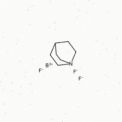 C1CN2CCC1CC2.[B+3].[F-].[F-].[F-]